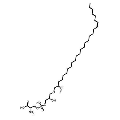 CCCCCC/C=C\CCCCCCCCCCCCCCCCCC(COC[C@@H](O)COP(=O)(O)OC[C@H](N)C(=O)O)OC